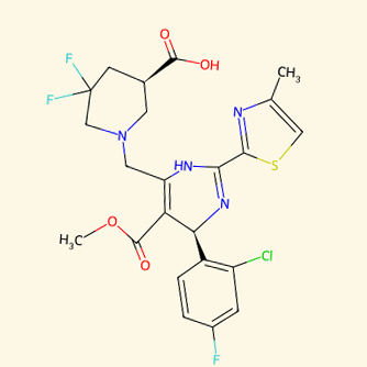 COC(=O)C1=C(CN2C[C@H](C(=O)O)CC(F)(F)C2)NC(c2nc(C)cs2)=N[C@H]1c1ccc(F)cc1Cl